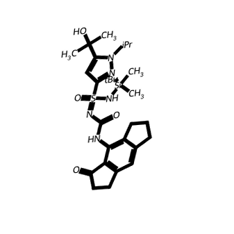 CC(C)n1nc(S(=O)(=NC(=O)Nc2c3c(cc4c2C(=O)CC4)CCC3)N[Si](C)(C)C(C)(C)C)cc1C(C)(C)O